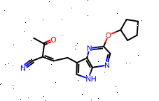 CC(=O)C(C#N)=CCc1c[nH]c2ncc(OC3CCCC3)nc12